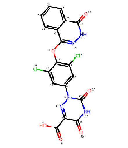 O=C(O)c1nn(-c2cc(Cl)c(Oc3n[nH]c(=O)c4ccccc34)c(Cl)c2)c(=O)[nH]c1=O